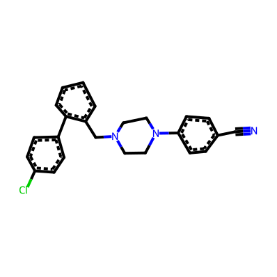 N#Cc1ccc(N2CCN(Cc3ccccc3-c3ccc(Cl)cc3)CC2)cc1